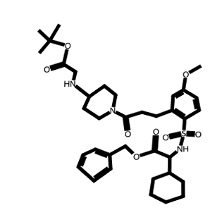 COc1ccc(S(=O)(=O)NC(C(=O)OCc2ccccc2)C2CCCCC2)c(CCC(=O)N2CCC(NCC(=O)OC(C)(C)C)CC2)c1